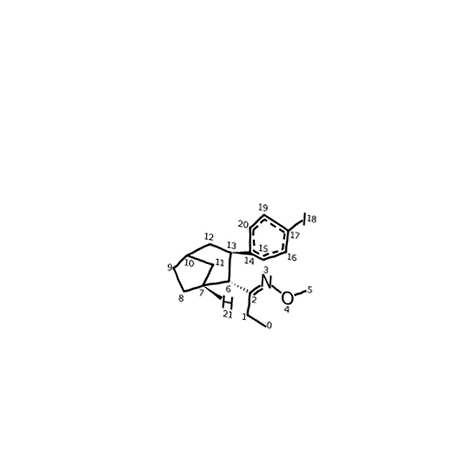 CCC(=NOC)[C@@H]1[C@@H]2CCC(C2)C[C@H]1c1ccc(I)cc1